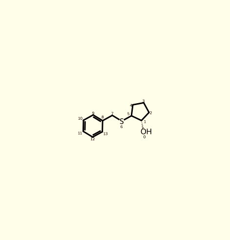 O[C@H]1CCCC1SCc1ccccc1